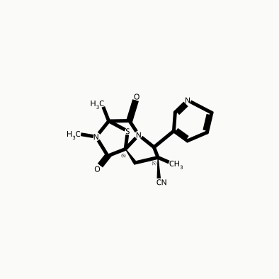 CN1C(=O)[C@@]23C[C@](C)(C#N)C(c4cccnc4)N2C(=O)C1(C)S3